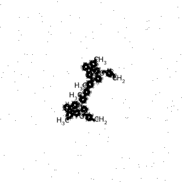 C=Cc1ccc(COc2ccc(C3(c4ccc(C)cc4)c4ccccc4-c4ccc(N(c5ccccc5)c5ccc(-c6ccc(-c7ccc(N(c8ccccc8)c8ccc9c(c8)C(c8ccc(C)cc8)(c8ccc(OCc%10ccc(C=C)cc%10)cc8)c8ccccc8-9)cc7C)cc6)c(C)c5)cc43)cc2)cc1